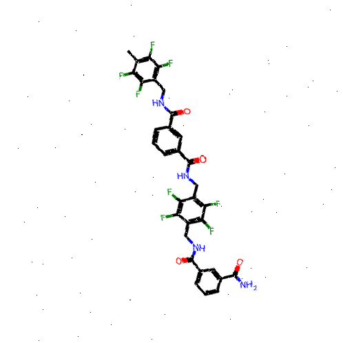 Cc1c(F)c(F)c(CNC(=O)c2cccc(C(=O)NCc3c(F)c(F)c(CNC(=O)c4cccc(C(N)=O)c4)c(F)c3F)c2)c(F)c1F